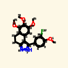 COc1ccc(-c2[nH]nc3c2-c2cc(OC)c(OC)c(OC)c2CC3)cc1F